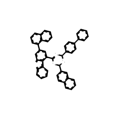 c1ccc(-c2ccc(C3N=C(c4cc(-c5cccc6ccccc56)cc5oc6ccccc6c45)NC(c4ccc5ccccc5c4)N3)cc2)cc1